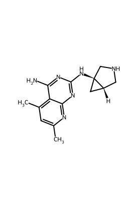 Cc1cc(C)c2c(N)nc(N[C@@]34CNC[C@@H]3C4)nc2n1